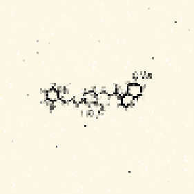 COc1ccc2nccc([C@@H](F)CC[C@@H]3CCN(CCSc4c(F)cccc4F)C[C@@H]3CC(=O)O)c2c1